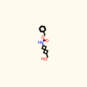 O=C(NC1CC2(CC(CO)C2)C1)OCc1ccccc1